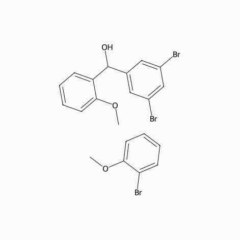 COc1ccccc1Br.COc1ccccc1C(O)c1cc(Br)cc(Br)c1